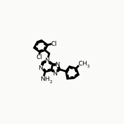 Cc1cccc(-c2nc3c(N)ncn(Cc4c(Cl)cccc4Cl)c-3n2)c1